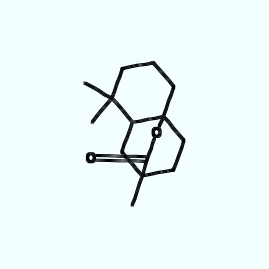 CC12CCC3(CCCC(C)(C)C3C1)OC2=O